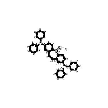 CB1c2ccc(N(c3ccccc3)c3ccccc3)cc2C=Cc2cc(N(c3ccccc3)c3ccccc3)ccc21